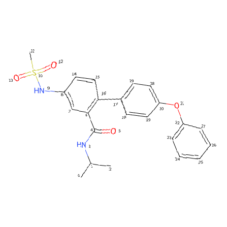 CC(C)NC(=O)c1cc(NS(C)(=O)=O)ccc1-c1ccc(Oc2ccccc2)cc1